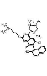 CC(=O)N1C[C@H](C)N(c2nc(OCCCN(C)C)nc3c(F)c(-c4c(O)ccc5ccccc45)c(Cl)cc23)C[C@H]1C